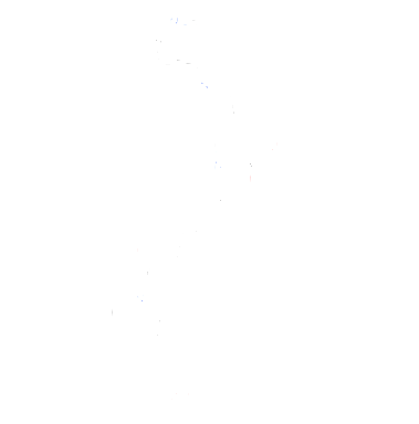 O=C(O)CC1CCCN(C(=O)CCCC2CN(C3CCN(c4ccncc4)CC3)C(=O)O2)C1